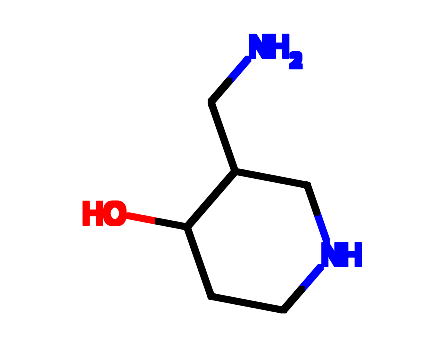 NCC1CNCCC1O